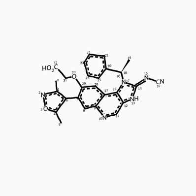 Cc1noc(C)c1-c1cc2ncc3[nH]c(=NC#N)n([C@H](C)c4ccccc4)c3c2cc1OCC(=O)O